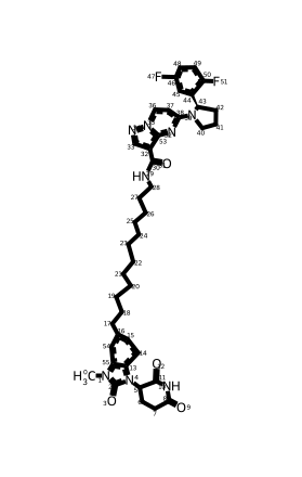 Cn1c(=O)n(C2CCC(=O)NC2=O)c2ccc(CCCCCCCCCCCCNC(=O)c3cnn4ccc(N5CCC[C@@H]5c5cc(F)ccc5F)nc34)cc21